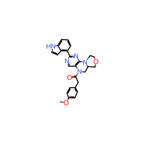 COc1ccc(CC(=O)N2CC3COCCN3c3nc(-c4cccc5[nH]ccc45)ncc32)cc1